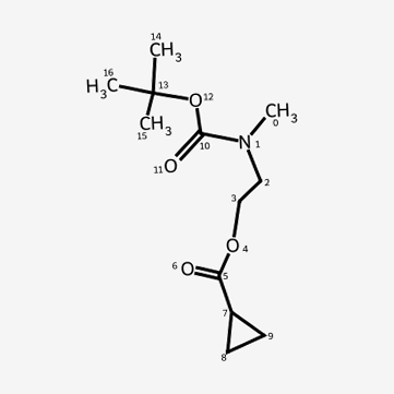 CN(CCOC(=O)C1CC1)C(=O)OC(C)(C)C